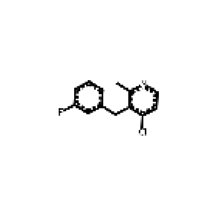 Cc1nccc(Cl)c1Cc1cccc(F)c1